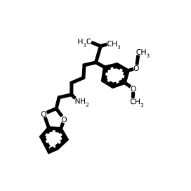 COc1ccc(C(CCCC(N)CC2Oc3ccccc3O2)C(C)C)cc1OC